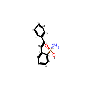 NS(=O)(=O)c1ccccc1C=Cc1ccccc1